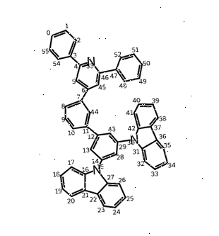 c1ccc(-c2cc(-c3cccc(-c4cc(-n5c6ccccc6c6ccccc65)cc(-n5c6ccccc6c6ccccc65)c4)c3)cc(-c3ccccc3)n2)cc1